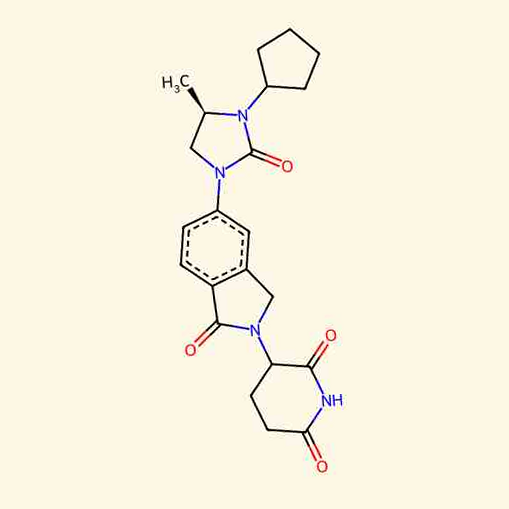 C[C@@H]1CN(c2ccc3c(c2)CN(C2CCC(=O)NC2=O)C3=O)C(=O)N1C1CCCC1